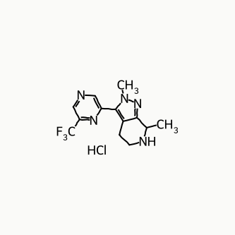 CC1NCCc2c1nn(C)c2-c1cncc(C(F)(F)F)n1.Cl